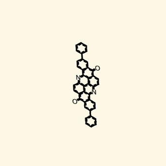 O=c1c2cc(-c3ccccc3)ccc2c2nc3ccc4c(=O)c5cc(-c6ccccc6)ccc5c5nc6ccc1c2c6c3c45